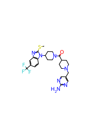 CSc1nc2cc(C(F)(F)F)ccc2n1C1CCN(C(=O)C2CCN(Cc3cnc(N)nc3)CC2)CC1